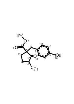 CC(C)OC(=O)C1(Cc2ccc(C(C)(C)C)cc2)CCC(C)C1=O